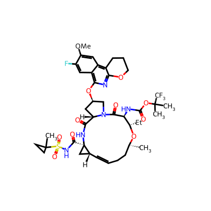 CC[C@@H]1O[C@H](C)CC/C=C\[C@@H]2C[C@@]2(C(=O)NS(=O)(=O)C2(C)CC2)NC(=O)[C@@H]2C[C@@H](Oc3nc4c(c5cc(OC)c(F)cc35)CCCO4)CN2C(=O)[C@H]1NC(=O)OC(C)(C)C(F)(F)F